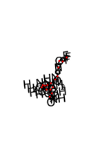 COC([C@@H](O)[C@@H](O)n1ccc(=O)[nH]c1=O)[C@@H](O[C@@H]1O[C@H](CN)[C@@H](O)[C@H]1O)[C@H](NCCCC(=O)NCc1ccc(N2CCC(Oc3ccc(C(F)(F)F)cc3)CC2)cc1)C(N)=O